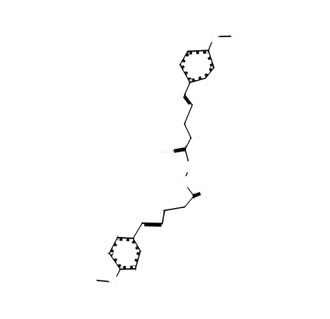 COc1ccc(C=CCCC(=O)OOC(=O)CCC=Cc2ccc(OC)cc2)cc1